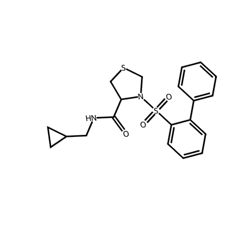 O=C(NCC1CC1)C1CSCN1S(=O)(=O)c1ccccc1-c1ccccc1